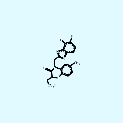 Cc1ccc2c(c1)N(Cc1nc3c(F)c(F)ccc3s1)C(=O)C(CC(=O)O)O2